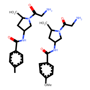 COc1ccc(C(=O)NC2CC(C(=O)O)N(C(=O)CN)C2)cc1.Cc1ccc(C(=O)NC2CC(C(=O)O)N(C(=O)CN)C2)cc1